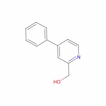 OCc1cc(-c2ccccc2)ccn1